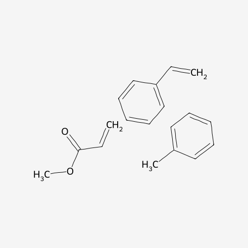 C=CC(=O)OC.C=Cc1ccccc1.Cc1ccccc1